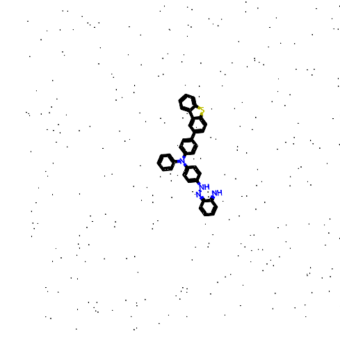 N=C1C=CC=C/C1=N/Nc1ccc(N(c2ccccc2)c2ccc(-c3ccc4sc5ccccc5c4c3)cc2)cc1